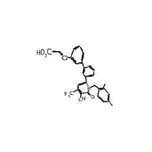 Cc1ccc(Cn2c(-c3cccc(-c4cccc(OCC(=O)O)c4)c3)cc(C(F)(F)F)c(C#N)c2=O)c(C)c1